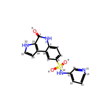 O=c1[nH]c2ccc(S(=O)(=O)Nc3cccnc3)cc2c2cc[nH]c12